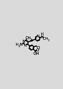 CNc1ccc(C#Cc2c(C)nc(N)nc2-c2ccc(C(=O)O)c(CCl)c2)cn1